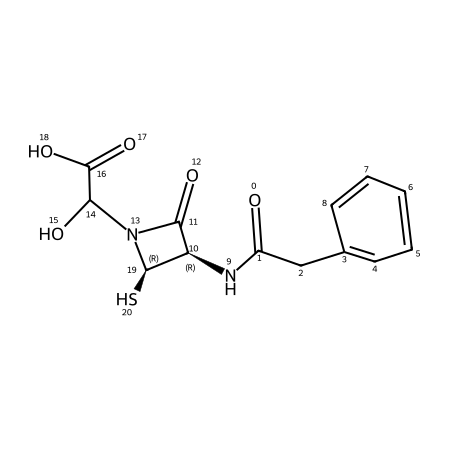 O=C(Cc1ccccc1)N[C@@H]1C(=O)N(C(O)C(=O)O)[C@@H]1S